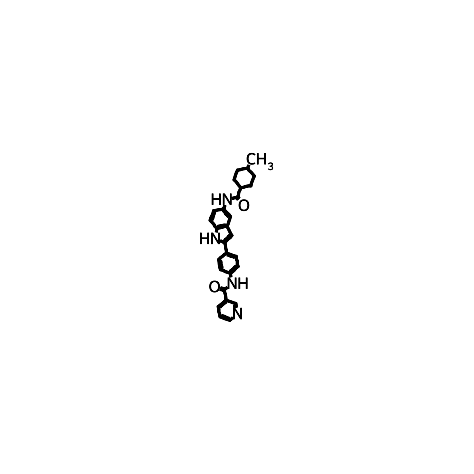 CC1CCC(C(=O)Nc2ccc3[nH]c(-c4ccc(NC(=O)c5cccnc5)cc4)cc3c2)CC1